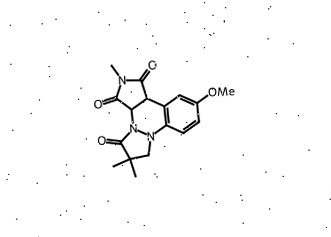 COc1ccc2c(c1)C1C(=O)N(C)C(=O)C1N1C(=O)C(C)(C)CN21